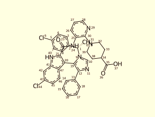 C[C@@H](c1ccc(Cl)cc1)n1cnc(-c2ccccc2)c1-c1c(C(=O)Nc2cccnc2N2CCC(C(=O)O)CC2)[nH]c2cc(Cl)ccc12